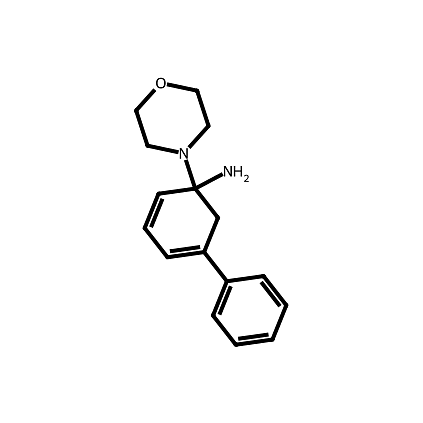 NC1(N2CCOCC2)C=CC=C(c2ccccc2)C1